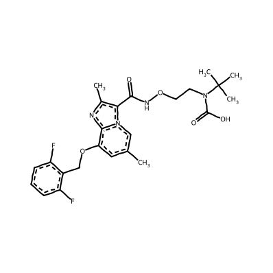 Cc1cc(OCc2c(F)cccc2F)c2nc(C)c(C(=O)NOCCN(C(=O)O)C(C)(C)C)n2c1